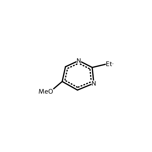 C[CH]c1ncc(OC)cn1